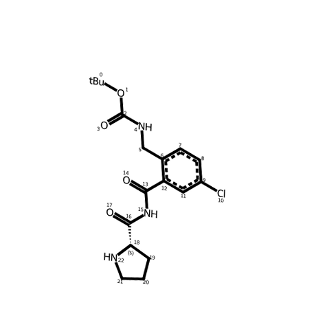 CC(C)(C)OC(=O)NCc1ccc(Cl)cc1C(=O)NC(=O)[C@@H]1CCCN1